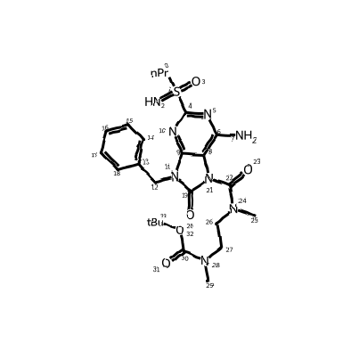 CCCS(=N)(=O)c1nc(N)c2c(n1)n(Cc1ccccc1)c(=O)n2C(=O)N(C)CCN(C)C(=O)OC(C)(C)C